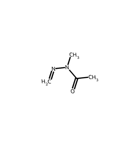 C=NN(C)C(C)=O